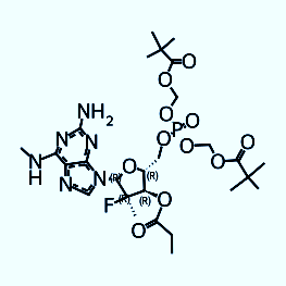 CCC(=O)O[C@@H]1[C@@H](COP(=O)(OCOC(=O)C(C)(C)C)OCOC(=O)C(C)(C)C)O[C@@H](n2cnc3c(NC)nc(N)nc32)[C@]1(C)F